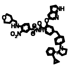 O=C(NS(=O)(=O)c1ccc(NCC2CCOCC2)c([N+](=O)[O-])c1)c1ccc(Cc2ccc(N3CCC[C@@H]3c3ccccc3C3CC3)cc2)cc1Oc1cnc2[nH]ccc2c1